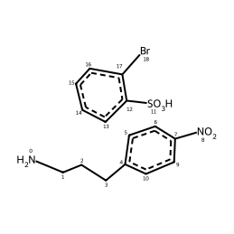 NCCCc1ccc([N+](=O)[O-])cc1.O=S(=O)(O)c1ccccc1Br